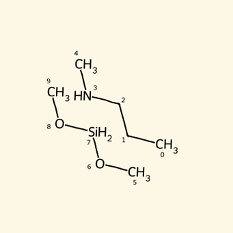 CCCNC.CO[SiH2]OC